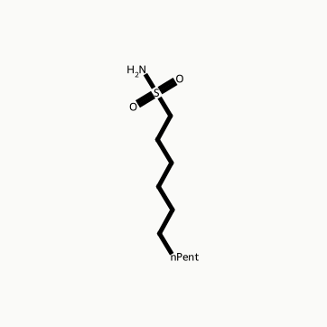 CCCCCCCCCCCS(N)(=O)=O